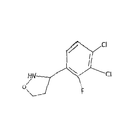 Fc1c(C2CCON2)ccc(Cl)c1Cl